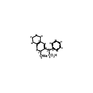 CON1CC2=C(C=C1N(C(=O)O)c1ccccc1)CCCC2